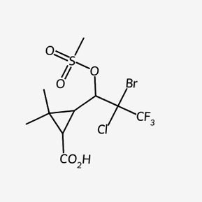 CC1(C)C(C(=O)O)C1C(OS(C)(=O)=O)C(Cl)(Br)C(F)(F)F